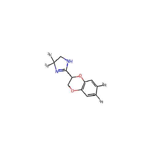 [2H]c1cc2c(cc1[2H])OC(C1=NC([2H])([2H])CN1)CO2